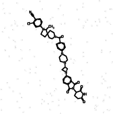 CC1N(c2ccc(C#N)c(Cl)c2)CCC12CCN(C(=O)c1ccc(N3CCN(C4CN(c5ccc6c(c5)C(=O)N(C5CCC(=O)NC5=O)C6=O)C4)CC3)cc1)CC2